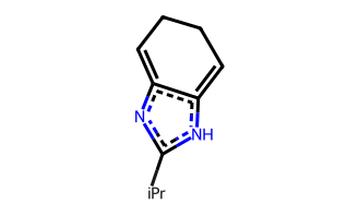 CC(C)c1nc2c([nH]1)=CCCC=2